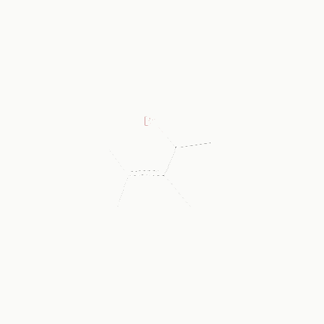 CC(C)=C(C)C(C)Br